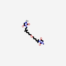 CCN1CC(=O)N(CCC(C)(C)CCCCOCCCCC(C)(C)N2C(=O)CN(C)C2=O)C1=O